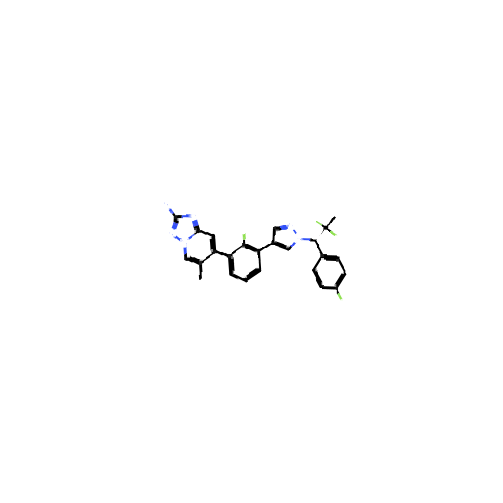 Cc1cn2nc(N)nc2cc1-c1cccc(-c2cnn([C@H](c3ccc(F)cc3)C(C)(F)F)c2)c1F